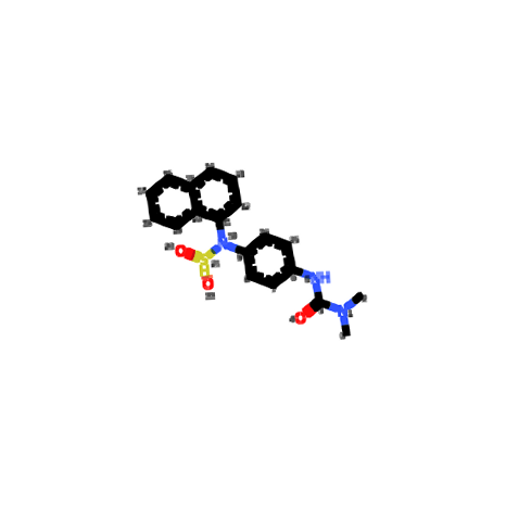 CN(C)C(=O)Nc1ccc(N(c2cccc3ccccc23)[SH](=O)=O)cc1